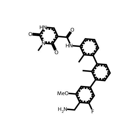 COc1cc(-c2cccc(-c3cccc(NC(=O)c4c[nH]c(=O)n(C)c4=O)c3C)c2C)cc(F)c1CN